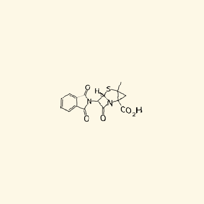 CC12CC1(C(=O)O)N1C(=O)C(N3C(=O)c4ccccc4C3=O)[C@@H]1S2